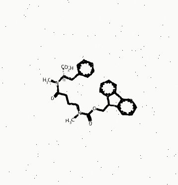 CN(CCCC(=O)N(C)[C@@H](Cc1ccccc1)C(=O)O)C(=O)OCC1c2ccccc2-c2ccccc21